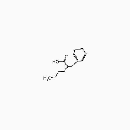 CCCCC(CC1=CCCC=C1)C(=O)O